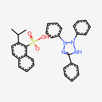 CC(C)c1ccc2ccccc2c1S(=O)(=O)O.c1ccc(C2=NN(c3ccccc3)N(c3ccccc3)N2)cc1